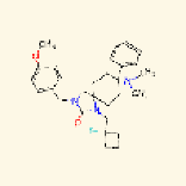 COc1ccc(CN2CC3(CCC(c4ccccc4)(N(C)C)CC3)N(CC3(F)CCC3)C2=O)cc1